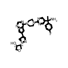 CC(N)(c1ccc(F)cc1)c1cnc(N2CCN(c3ncnn4cc(-c5cnn([C@@H]6COC[C@H]6O)c5)cc34)CC2)nc1